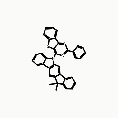 CC1(C)c2ccccc2-c2cc3c(cc21)c1ccccc1n3-c1nc(-c2ccccc2)nc2c1sc1ccccc12